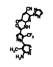 Cc1c(-n2ncc(C(=O)NC3N=C(n4nccn4)C(C#N)=CC3=O)c2C(F)(F)F)ccnc1N